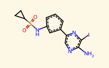 Nc1ncc(-c2cccc(NS(=O)(=O)C3CC3)c2)nc1I